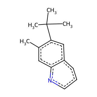 Cc1cc2ncccc2cc1C(C)(C)C